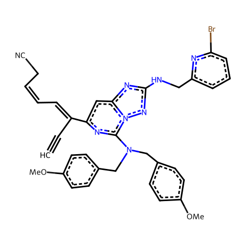 C#C/C(=C\C=C/CC#N)c1cc2nc(NCc3cccc(Br)n3)nn2c(N(Cc2ccc(OC)cc2)Cc2ccc(OC)cc2)n1